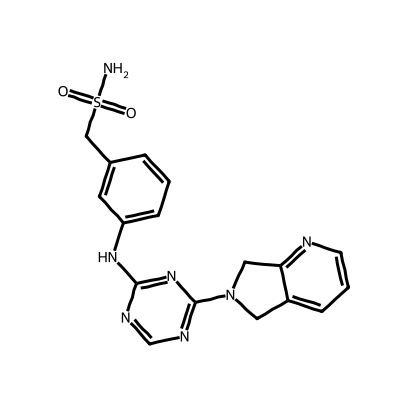 NS(=O)(=O)Cc1cccc(Nc2ncnc(N3Cc4cccnc4C3)n2)c1